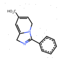 O=C(O)C1=CCN2C(=C1)CN=C2c1ccccc1